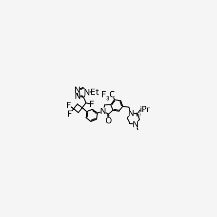 CCn1cnnc1C(F)C1(c2cccc(N3Cc4c(cc(CN5CCN(C)C[C@@H]5C(C)C)cc4C(F)(F)F)C3=O)c2)CC(F)(F)C1